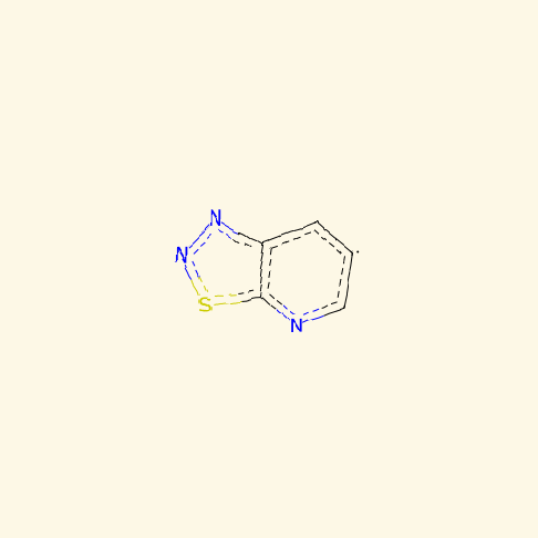 [c]1cnc2snnc2c1